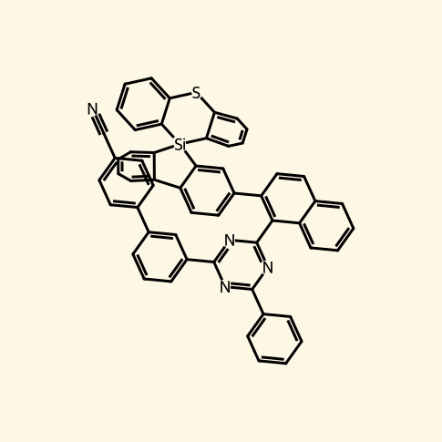 N#Cc1ccc(-c2cccc(-c3nc(-c4ccccc4)nc(-c4c(-c5ccc6c(c5)[Si]5(c7ccccc7Sc7ccccc75)c5ccccc5-6)ccc5ccccc45)n3)c2)cc1